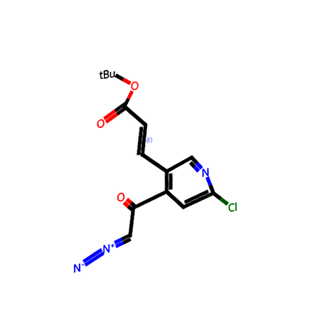 CC(C)(C)OC(=O)/C=C/c1cnc(Cl)cc1C(=O)C=[N+]=[N-]